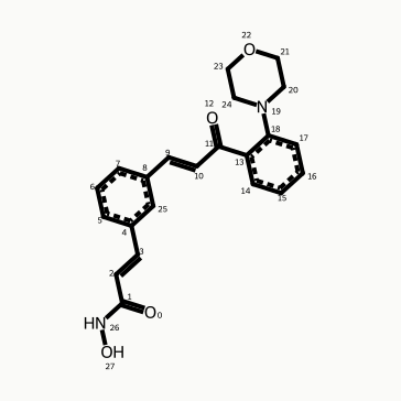 O=C(C=Cc1cccc(C=CC(=O)c2ccccc2N2CCOCC2)c1)NO